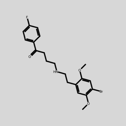 COc1cc(CCNCCCC(=O)c2ccc(F)cc2)c(OC)cc1Br